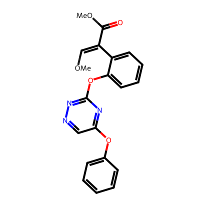 CO/C=C(/C(=O)OC)c1ccccc1Oc1nncc(Oc2ccccc2)n1